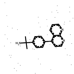 CC(C)(N)c1ccc(-c2ccnc3ncccc23)cc1